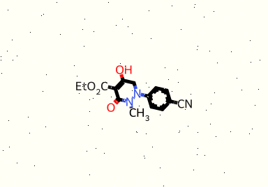 CCOC(=O)C1=C(O)CN(c2ccc(C#N)cc2)N(C)C1=O